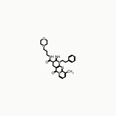 Cc1cccn2c(=O)c3c(nc12)N(CCc1ccccc1)C(=N)C(C(=O)NCCCN1CCOCC1)C3